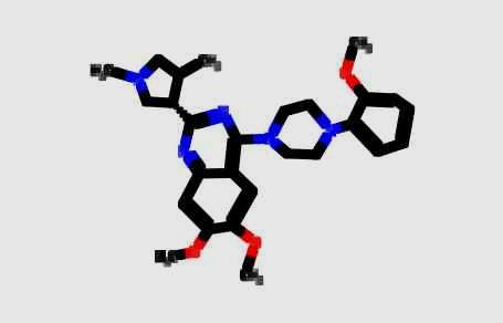 COc1cc2nc([C@@H]3CN(C)CC3C)nc(N3CCN(c4ccccc4OC)CC3)c2cc1OC